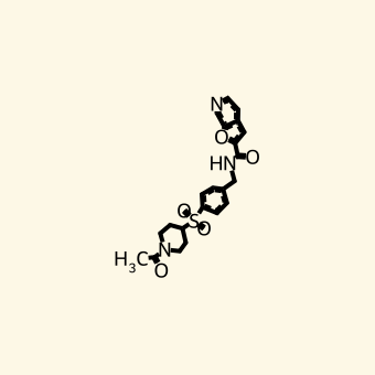 CC(=O)N1CCC(S(=O)(=O)c2ccc(CNC(=O)c3cc4ccncc4o3)cc2)CC1